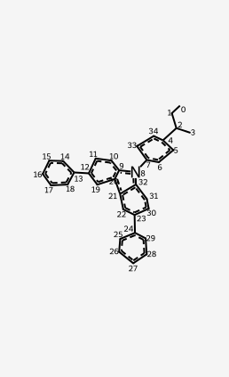 CCC(C)c1ccc(-n2c3ccc(-c4ccccc4)cc3c3cc(-c4ccccc4)ccc32)cc1